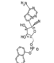 N#C[C@@]1(c2ccc3c(N)ncnn23)O[C@H](CO[PH](=O)Oc2cccc3ccccc23)[C@@H](O)[C@H]1O